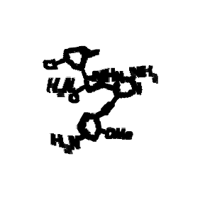 COc1cc(N)ccc1C#Cc1cnc(N)nc1-c1cc(C(N)=O)c(-c2cc(Cl)ccc2C)[nH]1